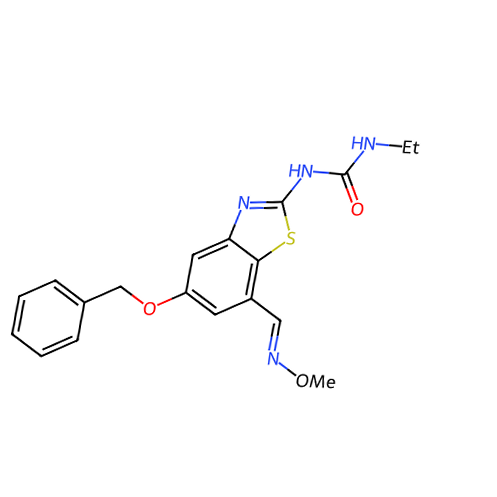 CCNC(=O)Nc1nc2cc(OCc3ccccc3)cc(/C=N/OC)c2s1